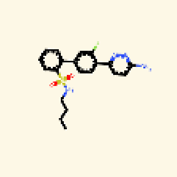 CCCCNS(=O)(=O)c1ccccc1-c1ccc(-c2ccc(N)nn2)c(F)c1